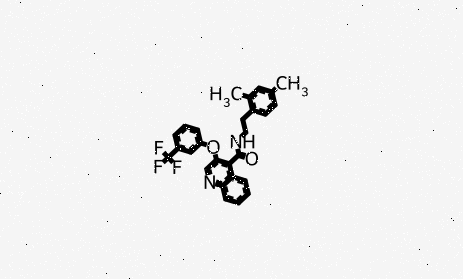 Cc1ccc(CCNC(=O)c2c(Oc3cccc(C(F)(F)F)c3)cnc3ccccc23)c(C)c1